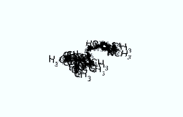 COC(=O)C[C@H](O[Si](C)(C)C(C)(C)C)C(C)(C)C(=O)[C@H](C)[C@@H](C)[C@@H](C)CCC[C@@H]1C[C@H]1C[C@@H](O)c1ccc2c(c1)nc(C)n2C